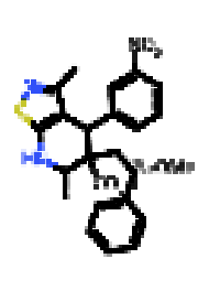 CO[C@@H](CC1(C(=O)O)C(C)Nc2snc(C)c2C1c1cccc([N+](=O)[O-])c1)c1ccccc1